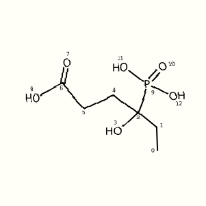 CCC(O)(CCC(=O)O)P(=O)(O)O